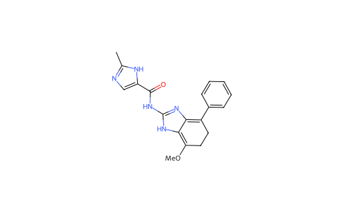 COC1=c2[nH]c(NC(=O)c3cnc(C)[nH]3)nc2=C(c2ccccc2)CC1